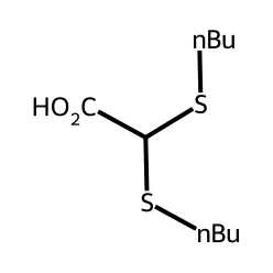 CCCCSC(SCCCC)C(=O)O